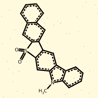 Cn1c2ccccc2c2cc3c(cc21)S(=O)(=O)c1cc2ccccc2cc1-3